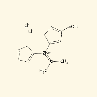 CCCCCCCCC1=CC[C]([Zr+2]([C]2=CC=CC2)=[Si](C)C)=C1.[Cl-].[Cl-]